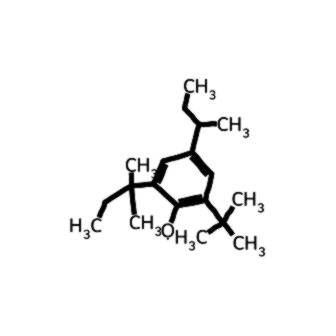 CCC(C)c1cc(C(C)(C)C)c([O])c(C(C)(C)CC)c1